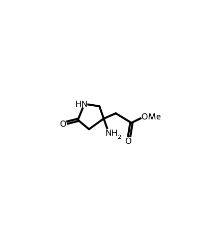 COC(=O)CC1(N)CNC(=O)C1